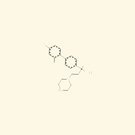 CC(O)(CCN1CCNCC1)c1ccc(-c2ccc(F)cc2F)cc1